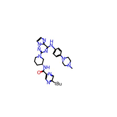 CN1CCN(c2ccc(Nc3nc(N4CCC[C@@H](NC(=O)c5cnc(C(C)(C)C)cn5)C4)nn4ccnc34)cc2)CC1